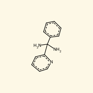 NC(N)(c1ccccc1)c1ccccn1